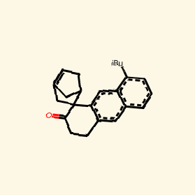 CCC(C)c1cccc2cc3c(cc12)C1(CC2=CCC1C2)C(=O)CC3